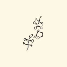 O=S(=O)(O[C@H]1OCC[C@H]1OS(=O)(=O)C(F)(F)F)C(F)(F)F